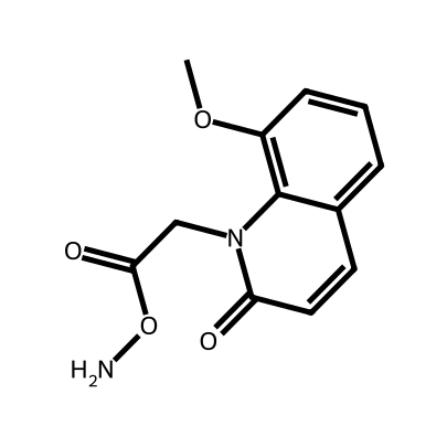 COc1cccc2ccc(=O)n(CC(=O)ON)c12